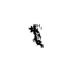 CCOCc1nc2c(N)nc(C)c(C)c2n1CCCNC(=O)c1ccc(C#N)cc1